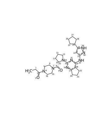 CCC(=O)N1CCN(C(=O)[C@@H]2CCCN2c2nc3c(c(Nc4cc(C5CCCC5)[nH]n4)n2)CCC3)CC1